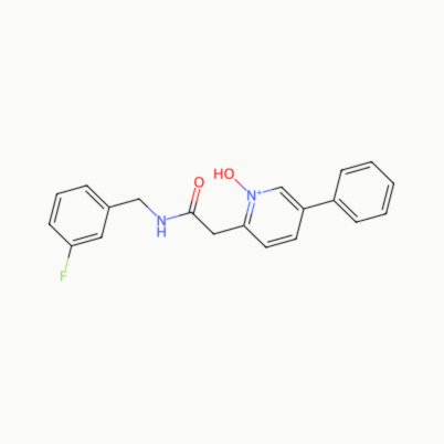 O=C(Cc1ccc(-c2ccccc2)c[n+]1O)NCc1cccc(F)c1